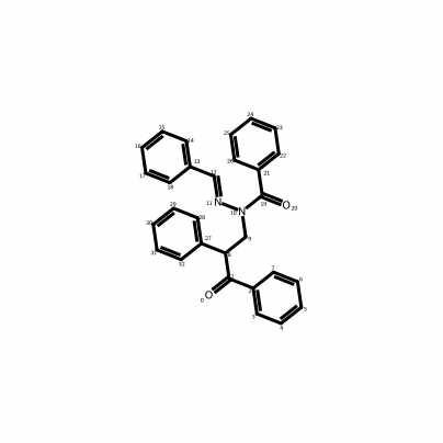 O=C(c1ccccc1)C(CN(N=Cc1ccccc1)C(=O)c1ccccc1)c1ccccc1